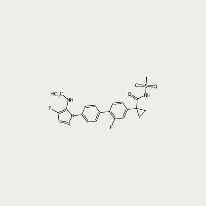 CS(=O)(=O)NC(=O)C1(c2ccc(-c3ccc(-n4ncc(F)c4NC(=O)O)cc3)c(F)c2)CC1